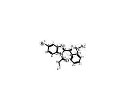 CC(=O)n1nc(-c2nc3cc(Br)ccc3n2C(=O)CI)c2ccccc21